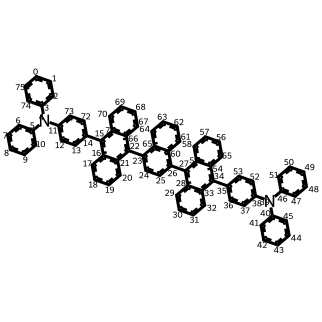 c1ccc(N(c2ccccc2)c2ccc(-c3c4ccccc4c(-c4ccc(-c5c6ccccc6c(-c6ccc(N(c7ccccc7)c7ccccc7)cc6)c6ccccc56)c5ccccc45)c4ccccc34)cc2)cc1